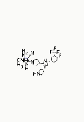 CN/C(N)=C(/C#N)C(=N)N1CCC(c2nc(-c3ccc(F)c(C(F)(F)F)c3)cn2C2CCNC2)CC1